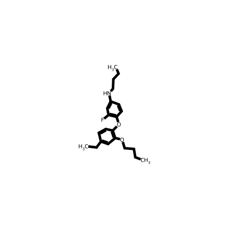 CCCCNc1ccc(Oc2ccc(CC)cc2OCCCC)c(F)c1